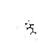 CCC(C(=O)O)c1scc2c1c(=O)n(C)c(=O)n2C